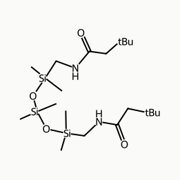 CC(C)(C)CC(=O)NC[Si](C)(C)O[Si](C)(C)O[Si](C)(C)CNC(=O)CC(C)(C)C